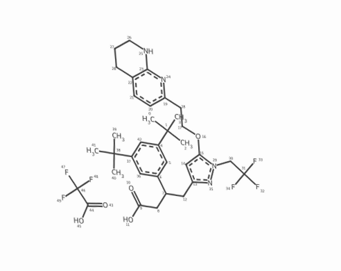 CC(C)(C)c1cc(C(CC(=O)O)Cc2cc(OCCc3ccc4c(n3)NCCC4)n(CC(F)(F)F)n2)cc(C(C)(C)C)c1.O=C(O)C(F)(F)F